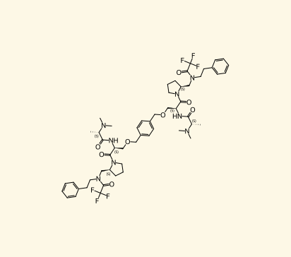 C[C@@H](C(=O)N[C@@H](COCc1ccc(COC[C@H](NC(=O)[C@H](C)N(C)C)C(=O)N2CCC[C@H]2CN(CCc2ccccc2)C(=O)C(F)(F)F)cc1)C(=O)N1CCC[C@H]1CN(CCc1ccccc1)C(=O)C(F)(F)F)N(C)C